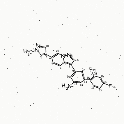 Cn1cc(-c2ccc3c(-c4cc(N)cc(-c5ccc(F)cc5F)c4)cnn3c2)cn1